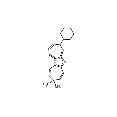 CC1(C)C=Cc2sc3c(c2C=C1)=CC=CC(C1CCCCC1)C=3